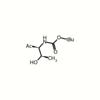 CC(=O)[C@@H](NC(=O)OC(C)(C)C)[C@@H](C)O